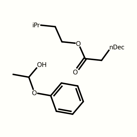 CC(O)Oc1ccccc1.CCCCCCCCCCCC(=O)OCCC(C)C